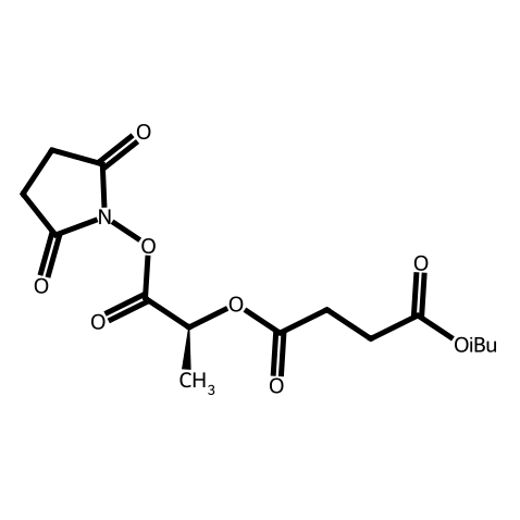 CC(C)COC(=O)CCC(=O)O[C@@H](C)C(=O)ON1C(=O)CCC1=O